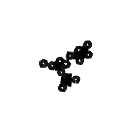 c1ccc(-c2ccc3c(c2)c2ccccc2n3-c2ccc(-c3nc(-c4ccccc4)nc(-c4ccccc4)n3)cc2-c2ccc(-c3cccc(N4c5ccccc5B5c6ccccc6N(c6ccccc6)c6cccc4c65)c3)cc2)cc1